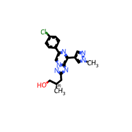 C[C@@H](CO)Cc1nc2c(-c3cnn(C)c3)nc(-c3ccc(Cl)cc3)cn2n1